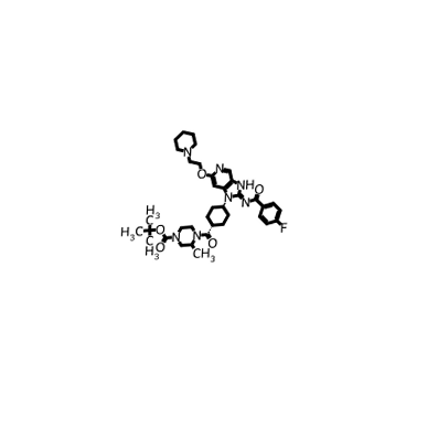 CC1CN(C(=O)OC(C)(C)C)CCN1C(=O)[C@H]1CC[C@@H](n2/c(=N/C(=O)c3ccc(F)cc3)[nH]c3cnc(OCCN4CCCCC4)cc32)CC1